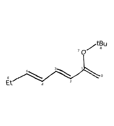 C=C(C=CC=CCC)OC(C)(C)C